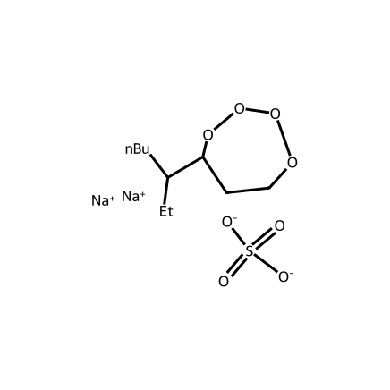 CCCCC(CC)C1CCOOOO1.O=S(=O)([O-])[O-].[Na+].[Na+]